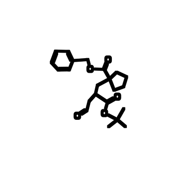 CC(C)(C)OC(=O)C(CC=O)CC1(C(=O)OCc2ccccc2)CCCC1